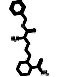 NC(=O)C1CCCCN1CCCC(N)C(=O)OCc1ccccc1